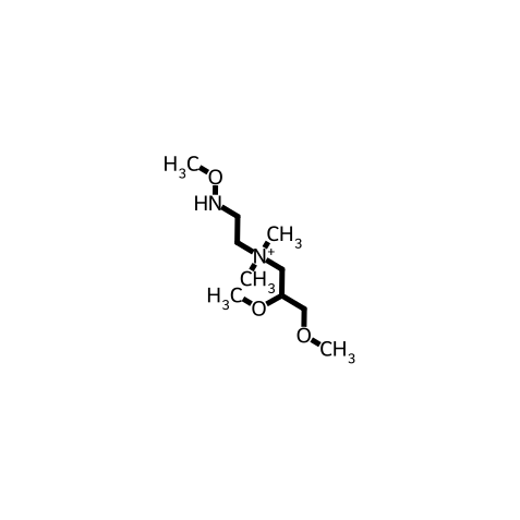 COCC(C[N+](C)(C)CCNOC)OC